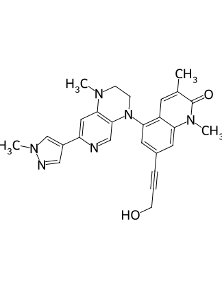 Cc1cc2c(N3CCN(C)c4cc(-c5cnn(C)c5)ncc43)cc(C#CCO)cc2n(C)c1=O